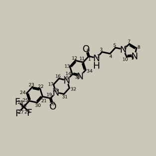 O=C(NCCCn1ccnc1)c1ccc(N2CCN(C(=O)c3cccc(C(F)(F)F)c3)CC2)nc1